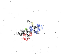 CC(C)Sc1nn([C@@H]2O[C@H](CO)C(O[Si](C)(C)C(C)(C)C)[C@@H]2F)c2ncnc(N)c12